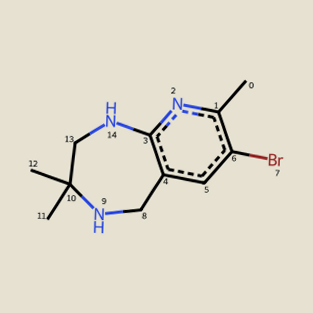 Cc1nc2c(cc1Br)CNC(C)(C)CN2